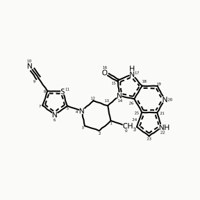 CC1CCN(c2ncc(C#N)s2)CC1n1c(=O)[nH]c2cnc3[nH]ccc3c21